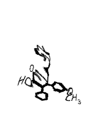 COc1ccc(C2C(c3ccccc3)=C(O)C(=O)N2CCCn2ccnc2)cc1